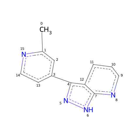 Cc1cc(-c2n[nH]c3ncccc23)ccn1